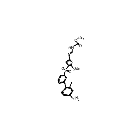 CSc1sc(/N=C/NC(=O)OC(C)(C)C)cc1S(=O)(=O)c1cccc(-c2ccc(N)cc2C)c1